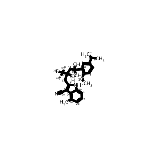 COc1ccc(C(C)C)cc1C(C)(C)CC(O)(Cc1[nH]c2cccc(C)c2c1C#N)C(F)(F)F